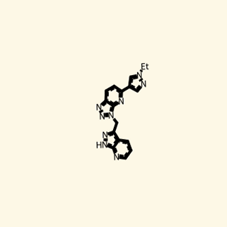 CCn1cc(-c2ccc3nnn(Cc4n[nH]c5ncccc45)c3n2)cn1